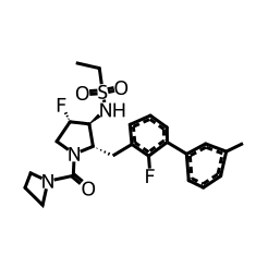 CCS(=O)(=O)N[C@@H]1[C@@H](F)CN(C(=O)N2CCC2)[C@H]1Cc1cccc(-c2cccc(C)c2)c1F